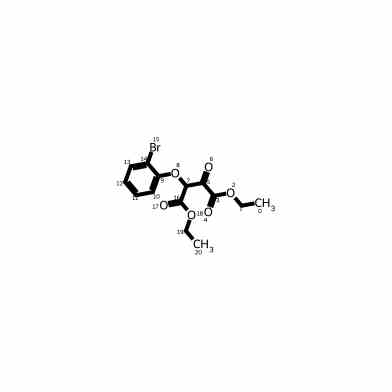 CCOC(=O)C(=O)C(Oc1ccccc1Br)C(=O)OCC